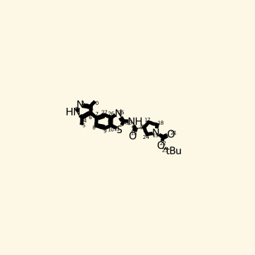 Cc1n[nH]c(C)c1-c1ccc2sc(NC(=O)[C@@H]3CCN(C(=O)OC(C)(C)C)C3)nc2c1